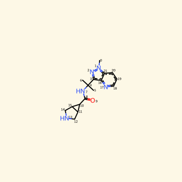 Cn1nc(C(C)(C)NC(=O)C2C3CNCC32)c2ncccc21